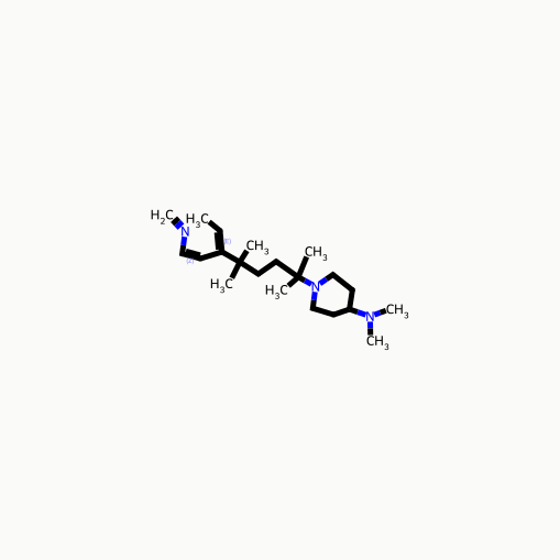 C=N/C=C\C(=C/C)C(C)(C)CCC(C)(C)N1CCC(N(C)C)CC1